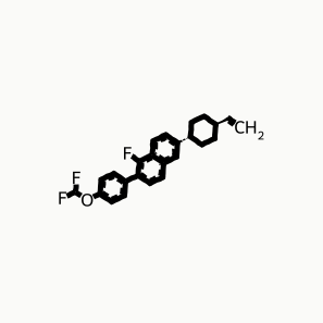 C=C[C@H]1CC[C@H](c2ccc3c(F)c(-c4ccc(OC(F)F)cc4)ccc3c2)CC1